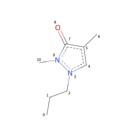 CCCn1cc(C)c(=O)n1C